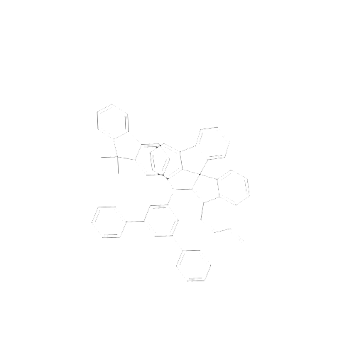 C=C/C=C\C1=C(N(c2cc(-c3ccccc3)cc(-c3ccccc3)c2)c2ccc3c(c2)C(C)(C)c2ccccc2-3)C2(c3ccccc31)c1ccccc1-c1ccccc12